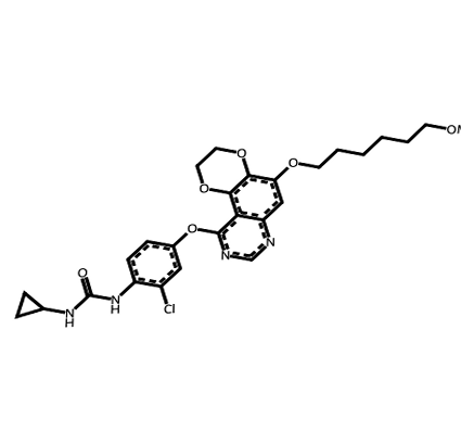 COCCCCCCOc1cc2ncnc(Oc3ccc(NC(=O)NC4CC4)c(Cl)c3)c2c2c1OCCO2